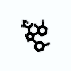 NNC(=O)c1nnn(-c2cccc(F)c2)c1-c1cccc(F)c1F